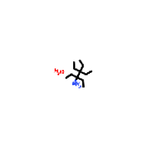 CCC(N)(CC)C(CC)(CC)CC.O